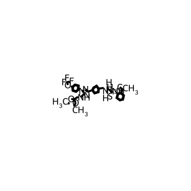 CCOC(CNc1nc(-c2ccc(CNNC(=S)Nc3ccccc3C(C)C)cc2)nn1-c1ccc(OC(F)(F)F)cc1)OCC